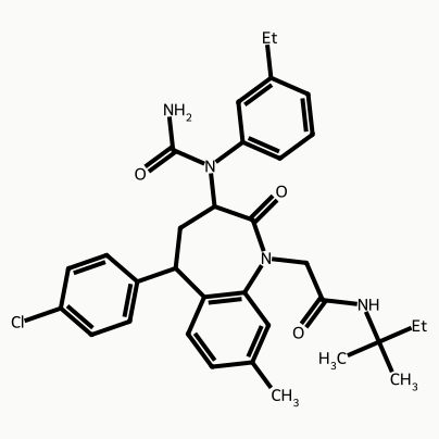 CCc1cccc(N(C(N)=O)C2CC(c3ccc(Cl)cc3)c3ccc(C)cc3N(CC(=O)NC(C)(C)CC)C2=O)c1